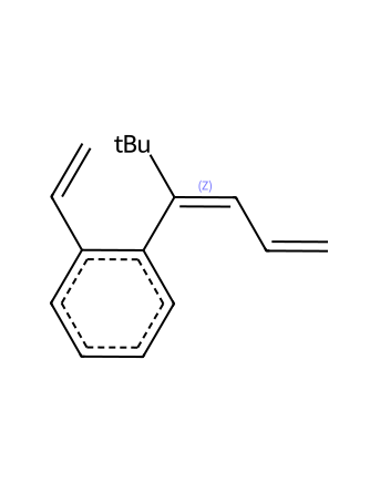 C=C/C=C(\c1ccccc1C=C)C(C)(C)C